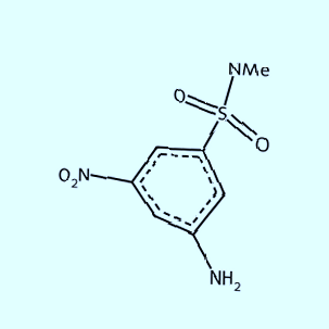 CNS(=O)(=O)c1cc(N)cc([N+](=O)[O-])c1